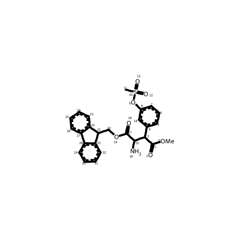 COC(=O)C(c1cccc(OS(C)(=O)=O)c1)C(N)C(=O)OCC1c2ccccc2-c2ccccc21